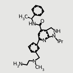 CC(C)N1NCc2c(C(=O)N[C@@H](C)c3ccccc3)cc(-c3cccc(CN(C)CCN)c3)nc21